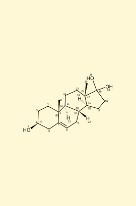 C[C@]12CC[C@H](O)CC1=CC[C@@H]1[C@@H]2CC[C@@]2(C)[C@H]1CCC2(O)O